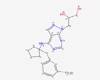 CCOC(=O)c1cccc(CC2(Nc3ncnc4c3cnn4CC(O)CO)CCCC2)c1